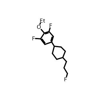 CCOc1c(F)cc(C2CCC(CCCF)CC2)cc1F